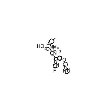 CC1CC2CC(C1)C(NC(=O)c1ccc(-c3cn(-c4ccc(F)cn4)c4cc(OC5CCN(c6ncccn6)CC5)ccc34)nc1C(F)(F)F)(C(=O)O)C2